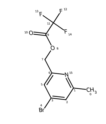 Cc1cc(Br)cc(COC(=O)C(F)(F)F)n1